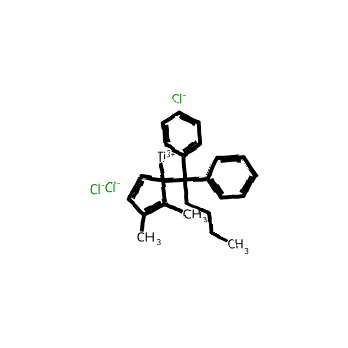 CCCCC(c1ccccc1)(c1ccccc1)[C]1([Ti+3])C=CC(C)=C1C.[Cl-].[Cl-].[Cl-]